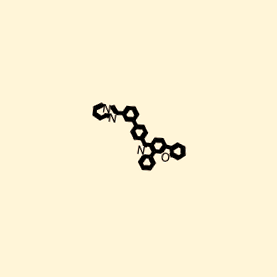 c1cc(-c2ccc(-c3nc4ccccc4c4c3ccc3c5ccccc5oc34)cc2)cc(-c2cn3ccccc3n2)c1